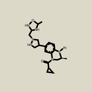 CC(=O)N1c2ccc(C3CNN(CC4NOC(C)N4)C3)cc2N(C(=O)C2CC2)C[C@@H]1C